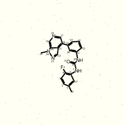 Cc1ccc(F)c(NC(=O)Nc2cccc(-c3cncc4c3cnn4C)c2)c1